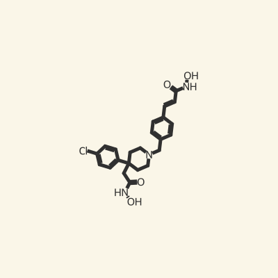 O=C(C=Cc1ccc(CN2CCC(CC(=O)NO)(c3ccc(Cl)cc3)CC2)cc1)NO